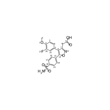 COc1ccc(-c2c(CC(=O)O)noc2-c2ccc(S(N)(=O)=O)cc2)cc1F